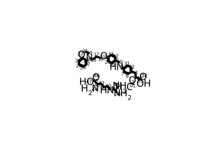 CCOC(Cc1ccc(NCc2ccc(OCCCN3CCOc4ccccc43)cc2)cc1)C(=O)O.N=C(N)NCCCC(N)C(=O)O